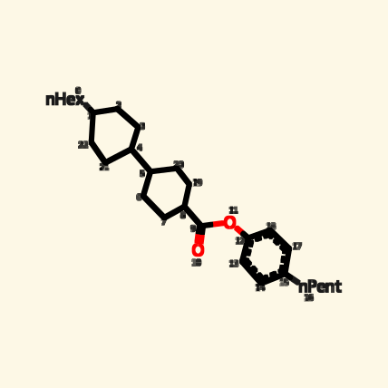 CCCCCCC1CCC(C2CCC(C(=O)Oc3ccc(CCCCC)cc3)CC2)CC1